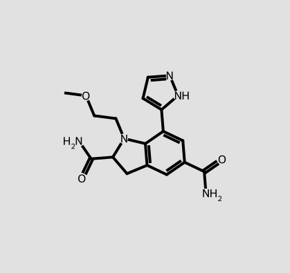 COCCN1c2c(cc(C(N)=O)cc2-c2ccn[nH]2)CC1C(N)=O